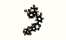 C[C@@](O)(C(=O)N1C[C@H](F)[C@H](NC(=O)c2ccc(F)c(-c3cc(C(F)(F)F)c4c(N)ncnn34)c2)C1)C(F)(F)F